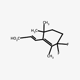 CC1=C(C=CC(=O)O)C(C)(C)CCC1(F)F